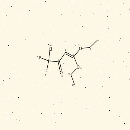 CCOC(=CC(=O)C(F)(F)Cl)OCC